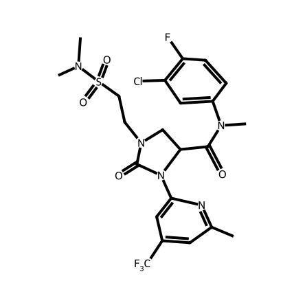 Cc1cc(C(F)(F)F)cc(N2C(=O)N(CCS(=O)(=O)N(C)C)CC2C(=O)N(C)c2ccc(F)c(Cl)c2)n1